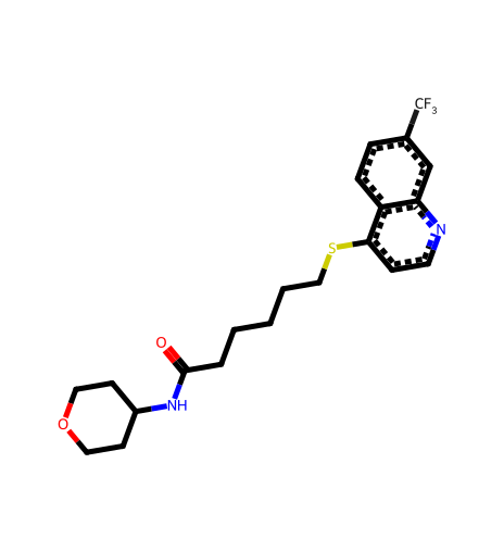 O=C(CCCCCSc1ccnc2cc(C(F)(F)F)ccc12)NC1CCOCC1